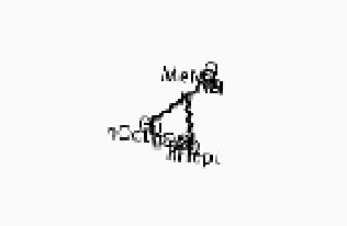 CCCCCCCCC(CCCCCCCC)OC(=O)CCCCCCCN(CCCCCCCC(=O)OCC(CCCCCCC)C(C)C)CCCNC1=C(NC)COCC1=O